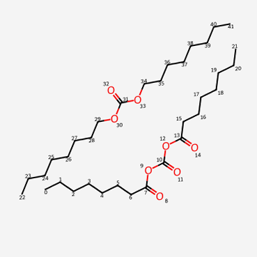 CCCCCCCC(=O)OC(=O)OC(=O)CCCCCCC.CCCCCCCCOC(=O)OCCCCCCCC